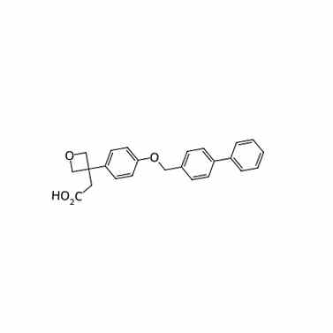 O=C(O)CC1(c2ccc(OCc3ccc(-c4ccccc4)cc3)cc2)COC1